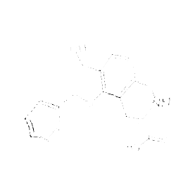 O=C(O)[C@@H]1Cc2c(ccc(CO)c2OCc2ccccc2)CN1